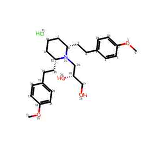 COc1ccc(CC[C@H]2CCC[C@@H](CCc3ccc(OC)cc3)N2C[C@@H](O)CO)cc1.Cl